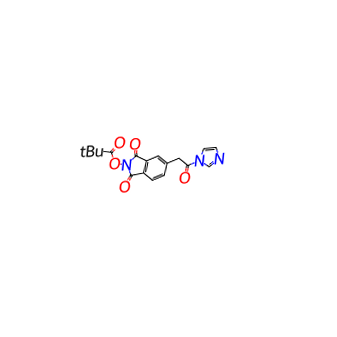 CC(C)(C)C(=O)ON1C(=O)c2ccc(CC(=O)n3ccnc3)cc2C1=O